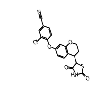 N#Cc1ccc(Oc2ccc3c(c2)OCC[C@H]3C2SC(=O)NC2=O)c(Cl)c1